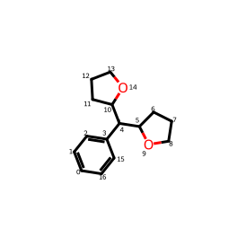 c1ccc([C](C2CCCO2)C2CCCO2)cc1